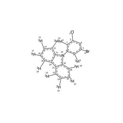 [2H]c1c(Cl)cc(Br)c([2H])c1-n1c2c([2H])c([2H])c([2H])c([2H])c2c2c([2H])c([2H])c([2H])c([2H])c21